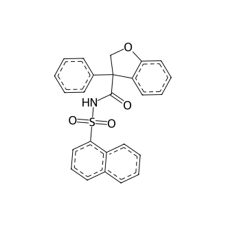 O=C(NS(=O)(=O)c1cccc2ccccc12)C1(c2ccccc2)COc2ccccc21